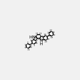 c1ccc(-c2ccc3c(c2)[nH]c2ccc4c5cc(-c6ccccc6)ccc5[nH]c4c23)cc1